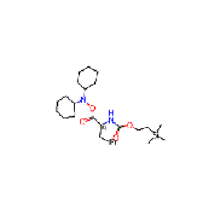 CC(C)C[C@H](NC(=O)OCC[Si](C)(C)C)C(=O)ON(C1CCCCC1)C1CCCCC1